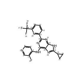 Fc1cnccc1Nc1nc(-c2cccc(C(F)(F)F)n2)nc2[nH]c(C3CC3)nc12